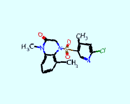 Cc1cc(Cl)ncc1S(=O)(=O)N1CC(=O)N(C)c2cccc(C)c21